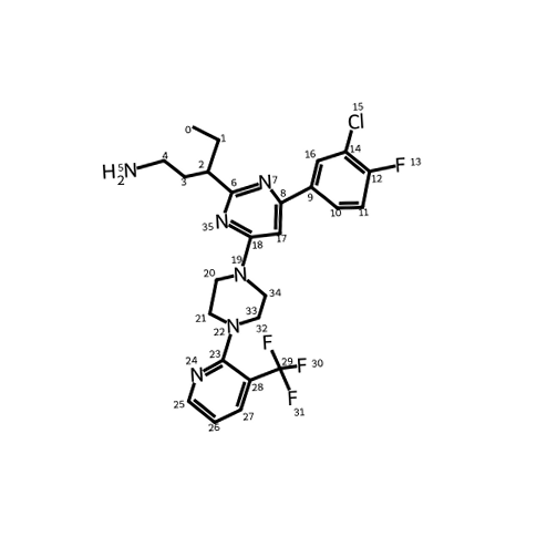 CCC(CCN)c1nc(-c2ccc(F)c(Cl)c2)cc(N2CCN(c3ncccc3C(F)(F)F)CC2)n1